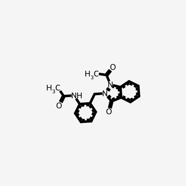 CC(=O)Nc1ccccc1Cn1c(=O)c2ccccc2n1C(C)=O